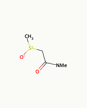 CNC(=O)C[S+](C)[O-]